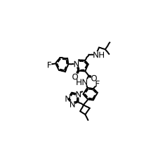 CC(C)CNCc1cc(C(=O)Nc2cc(C3(c4nncn4C)CC(C)C3)ccc2F)c(=O)n(-c2ccc(F)cc2)c1